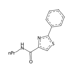 CCCNC(=O)c1csc(-c2ccccc2)n1